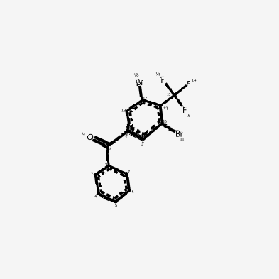 O=C(c1ccccc1)c1cc(Br)c(C(F)(F)F)c(Br)c1